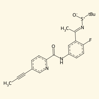 CC#Cc1ccc(C(=O)Nc2ccc(F)c(/C(C)=N/[S+]([O-])C(C)(C)C)c2)nc1